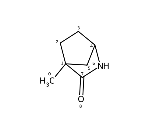 CC12CCC(C1)NC2=O